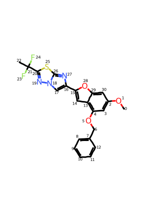 COc1cc(OCc2ccccc2)c2cc(-c3cn4nc(C(C)(F)F)sc4n3)oc2c1